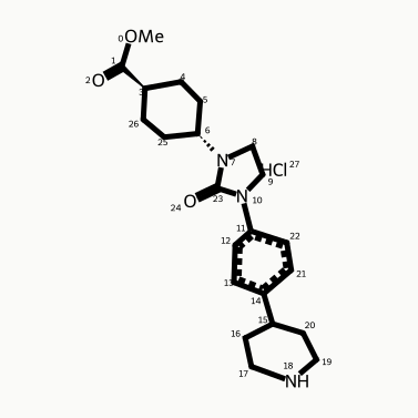 COC(=O)[C@H]1CC[C@H](N2CCN(c3ccc(C4CCNCC4)cc3)C2=O)CC1.Cl